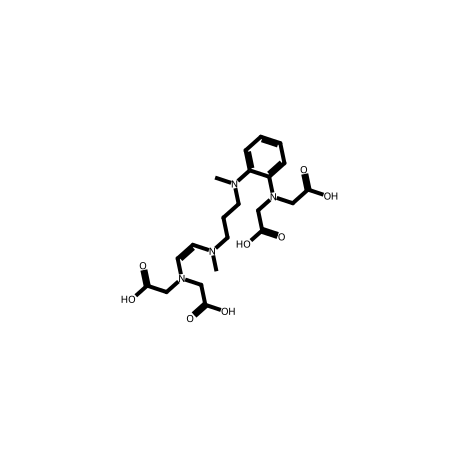 CN(/C=C\N(CC(=O)O)CC(=O)O)CCCN(C)c1ccccc1N(CC(=O)O)CC(=O)O